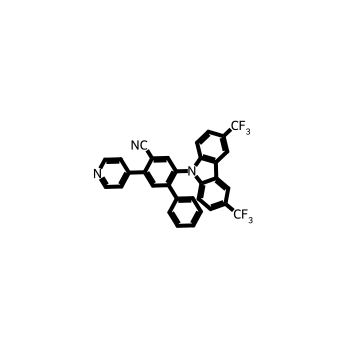 N#Cc1cc(-n2c3ccc(C(F)(F)F)cc3c3cc(C(F)(F)F)ccc32)c(-c2ccccc2)cc1-c1ccncc1